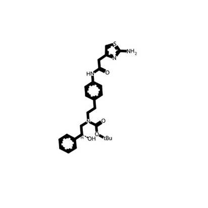 CC(C)(C)OC(=O)N(CCc1ccc(NC(=O)Cc2csc(N)n2)cc1)C[C@H](O)c1ccccc1